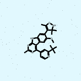 COc1cc2c(cc1C1=C(C)ONC1(C)C)[nH]c1nc(C)nc(-c3ccnc(C(C)(C)C)c3)c12